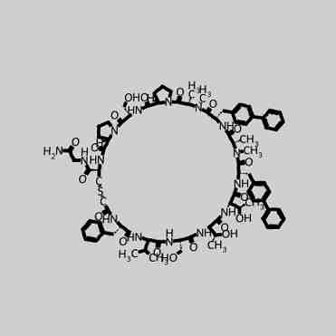 CC(C)C1NC(=O)[C@H](Cc2ccccc2)NC(=O)CSC[C@@H](C(=O)NCC(N)=O)NC(=O)[C@@H]2CCCN2C(=O)[C@H](CO)NC(=O)[C@@H]2CCCN2C(=O)[C@H](C)N(C)C(=O)[C@H](Cc2ccc(-c3ccccc3)cc2)NC(=O)[C@H](C)N(C)C(=O)[C@H](Cc2ccc(-c3ccccc3)cc2)NC(=O)[C@H]([C@@H](C)O)NC(=O)[C@H]([C@@H](C)O)NC(=O)[C@H](CO)NC1=O